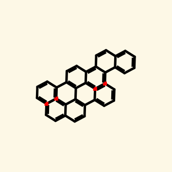 c1ccc(-c2ccc3ccccc3c2-c2c(-c3ccccc3)ccc3c2ccc2c4ccccc4ccc32)cc1